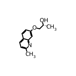 Cc1ccc2ccc(OC[C@@H](C)O)cc2n1